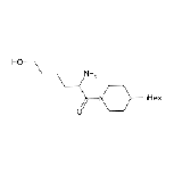 CCCCCCC1CCN(C(=O)C(N)CCCCO)CC1